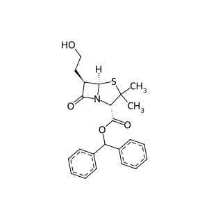 CC1(C)S[C@@H]2[C@H](CCO)C(=O)N2[C@H]1C(=O)OC(c1ccccc1)c1ccccc1